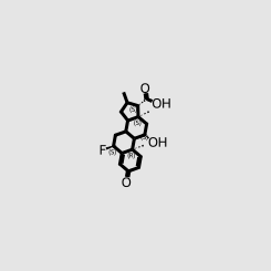 CC1CC2C3C[C@H](F)C4=CC(=O)C=C[C@]4(C)C3[C@@H](O)C[C@]2(C)[C@H]1C(=O)O